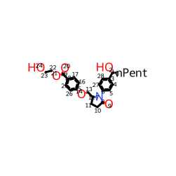 CCCCCC(O)c1ccc(N2C(=O)CCC2COc2ccc(C(=O)OCCO)cc2)cc1